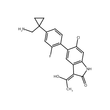 C/C(O)=C1\C(=O)Nc2cc(Cl)c(-c3ccc(C4(CN)CC4)cc3F)cc21